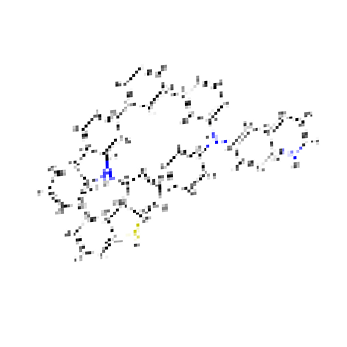 c1ccc(N(c2cccc(-c3cccc(-c4ccc5c6ccccc6n(-c6cccc7sc8ccccc8c67)c5c4)c3)c2)c2ccc3ncccc3c2)cc1